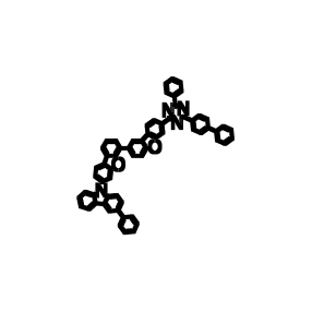 c1ccc(-c2ccc(-c3nc(-c4ccccc4)nc(-c4ccc5c(c4)oc4ccc(-c6cccc7c6oc6cc(-n8c9ccccc9c9cc(-c%10ccccc%10)ccc98)ccc67)cc45)n3)cc2)cc1